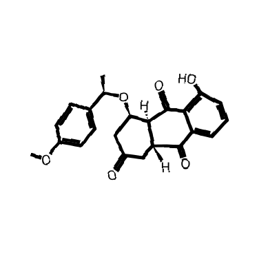 COc1ccc([C@@H](C)O[C@@H]2CC(=O)C[C@H]3C(=O)c4cccc(O)c4C(=O)[C@H]23)cc1